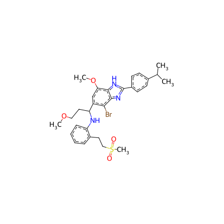 COCCC(Nc1ccccc1CCS(C)(=O)=O)c1cc(OC)c2[nH]c(-c3ccc(C(C)C)cc3)nc2c1Br